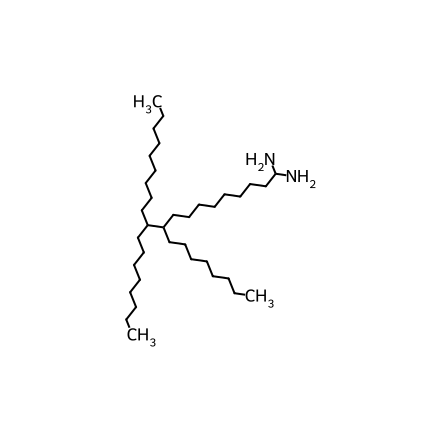 CCCCCCCCCC(CCCCCCCC)C(CCCCCCCC)CCCCCCCCC(N)N